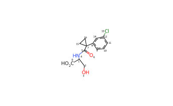 O=C(O)C(CO)NC(=O)C1(c2cccc(Cl)c2)CC1